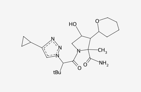 CC(C)(C)C(C(=O)N1CC(O)C(C2CCCCO2)C1(C)C(N)=O)n1cc(C2CC2)nn1